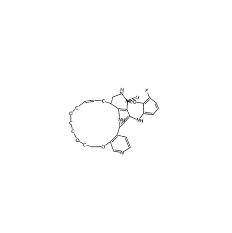 COc1c(F)cccc1Nc1c2[nH]c3c1C(=O)NCC3C/C=C\COCCOCCOc1cnccc1-2